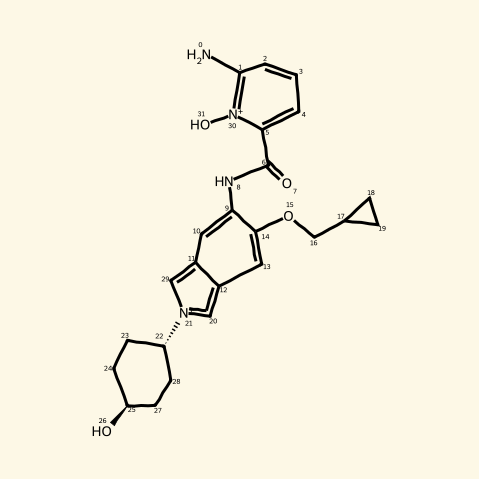 Nc1cccc(C(=O)Nc2cc3c(cc2OCC2CC2)=C=[N+]([C@H]2CC[C@H](O)CC2)C=3)[n+]1O